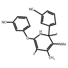 CNC1=C(C)C(F)=C(Oc2cccc(C#N)c2)NC1(F)c1cccc(C#N)c1